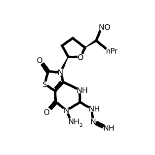 CCCC(N=O)[C@@H]1CC[C@H](n2c3c(sc2=O)C(=O)N(N)C(NN=N)N3)O1